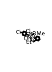 CCN(Cc1ccccc1)c1nc(OC)nc(-c2c(Cl)cc(Cl)cc2Cl)n1